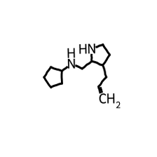 C=CCC1CCNC1CNC1CCCC1